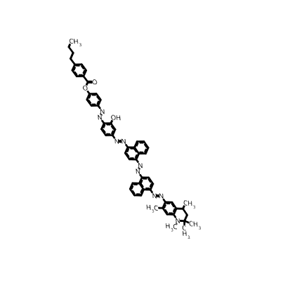 CCCCc1ccc(C(=O)Oc2ccc(N=Nc3ccc(N=Nc4ccc(N=Nc5ccc(N=Nc6cc7c(cc6C)N(C)C(C)(C)CC7C)c6ccccc56)c5ccccc45)cc3O)cc2)cc1